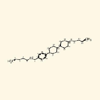 C=CCCCOCc1ccc(C2CCC(C3CCC(CCCC=C)CC3)CC2)cc1